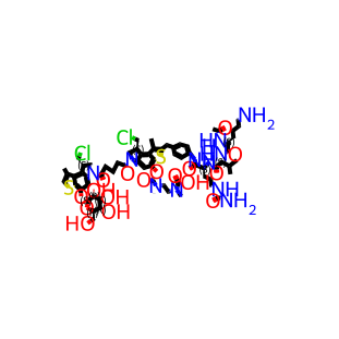 CC(=O)N[C@@H](CCCCN)C(=O)N[C@H](C(=O)N[C@@H](CCCNC(N)=O)C(=O)Nc1ccc(Cc2sc3c(OC(=O)N(C)CCN(C)C(=O)O)cc4c(c3c2C)[C@H](CCl)CN4C(=O)CCCC(=O)N2C[C@@H](CCl)c3c2cc(O[C@@H]2O[C@H](CO)[C@H](O)[C@H](O)[C@H]2O)c2scc(C)c32)cc1)C(C)C